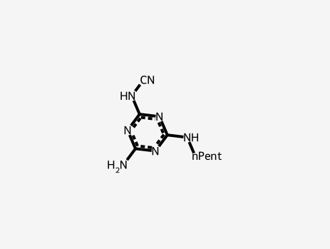 CCCCCNc1nc(N)nc(NC#N)n1